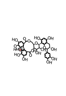 CC1C(O)[C@H]2OC(=O)c3cc(O)c(O)c(O)c3-c3c(cc(O)c(O)c3O)C(=O)OCC2O[C@H]1c1c(O)cc(O)c2c1OC(c1ccc(O)c(O)c1)[C@@H](O)C2